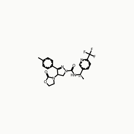 Cc1ccc(C2=NN(C(=O)N[C@H](C)c3ccc(C(F)(F)F)nc3)CC2N2CCOC2=O)cc1